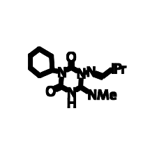 CNC1NC(=O)N(C2CCCCC2)C(=O)N1N=CC(C)C